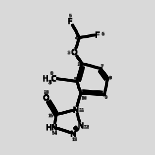 Cc1c(OC(F)F)cccc1-n1nn[nH]c1=O